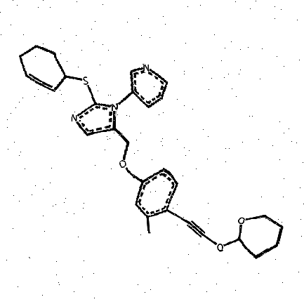 Cc1cc(OCc2cnc(SC3C=CCCC3)n2-c2cccnc2)ccc1C#COC1CCCCO1